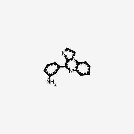 Nc1cccc(-c2nc3ccccc3n3ccnc23)c1